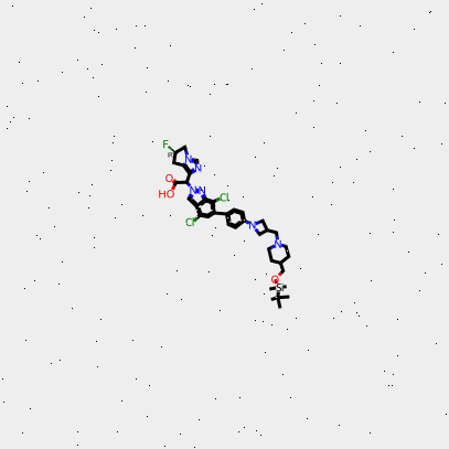 CC(C)(C)[Si](C)(C)OCC1CCN(CC2CN(c3ccc(-c4cc(Cl)c5cn(C(C(=O)O)c6ncn7c6C[C@@H](F)C7)nc5c4Cl)cc3)C2)CC1